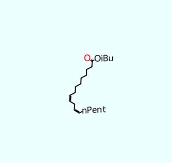 CCCCC/C=C\C/C=C\CCCCCCCC(=O)OCC(C)C